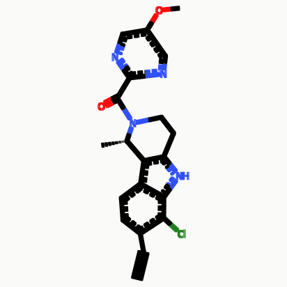 C#Cc1ccc2c3c([nH]c2c1Cl)CCN(C(=O)c1ncc(OC)cn1)[C@H]3C